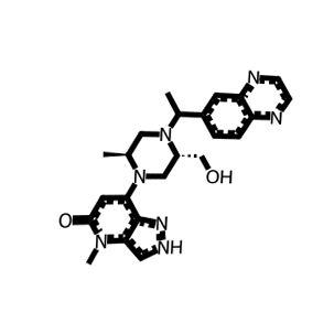 CC(c1ccc2nccnc2c1)N1C[C@H](C)N(c2cc(=O)n(C)c3c[nH]nc23)C[C@H]1CO